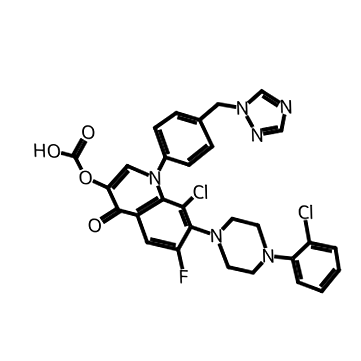 O=C(O)Oc1cn(-c2ccc(Cn3cncn3)cc2)c2c(Cl)c(N3CCN(c4ccccc4Cl)CC3)c(F)cc2c1=O